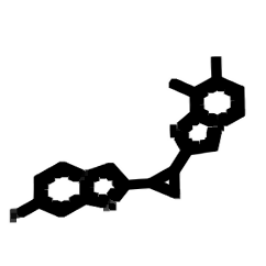 Cc1ccn2cc(C3CC3c3cn4ccc(F)cc4n3)nc2c1C